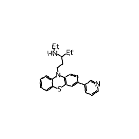 CCNC(CC)CCN1c2ccccc2Sc2cc(-c3cccnc3)ccc21